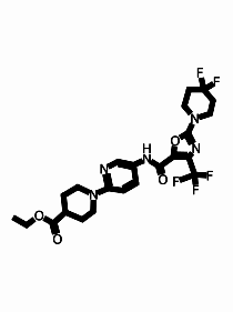 CCOC(=O)C1CCN(c2ccc(NC(=O)c3oc(N4CCC(F)(F)CC4)nc3C(F)(F)F)cn2)CC1